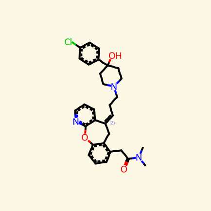 CN(C)C(=O)Cc1cccc2c1C/C(=C/CCN1CCC(O)(c3ccc(Cl)cc3)CC1)c1cccnc1O2